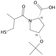 CC(CS)C(=O)N1C[C@@H](OC(C)(C)C)C[C@H]1C(=O)O